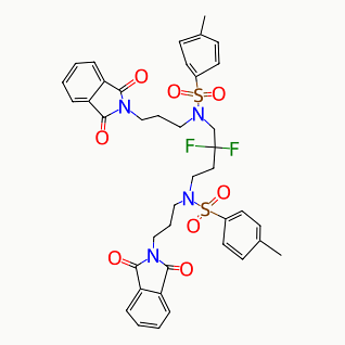 Cc1ccc(S(=O)(=O)N(CCCN2C(=O)c3ccccc3C2=O)CCC(F)(F)CN(CCCN2C(=O)c3ccccc3C2=O)S(=O)(=O)c2ccc(C)cc2)cc1